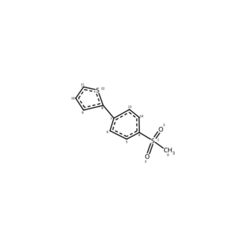 CS(=O)(=O)c1ccc(-c2cc[c]s2)cc1